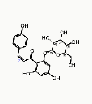 O=C(/C=C\c1ccc(O)cc1)c1c(O)cc(O)cc1O[C@@H]1O[C@H](CO)[C@H](O)[C@H](O)[C@H]1O